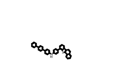 c1ccc(-c2ccc(-c3ccc(Nc4ccc(-c5cccc6c5sc5c7ccccc7ccc65)cc4)cc3)cc2)cc1